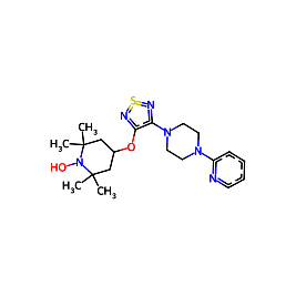 CC1(C)CC(Oc2nsnc2N2CCN(c3ccccn3)CC2)CC(C)(C)N1O